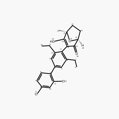 CCc1cc(-c2ccc(Cl)cc2Cl)cc(CC)c1C1=C(O)[C@@]2(C)CC[C@H](O2)C1=O